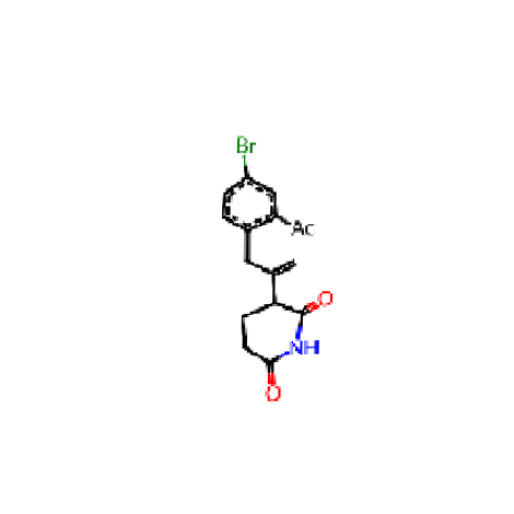 C=C(Cc1ccc(Br)cc1C(C)=O)C1CCC(=O)NC1=O